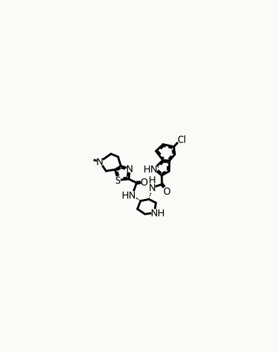 CN1CCc2nc(C(=O)N[C@H]3CCNC[C@H]3NC(=O)c3cc4cc(Cl)ccc4[nH]3)sc2C1